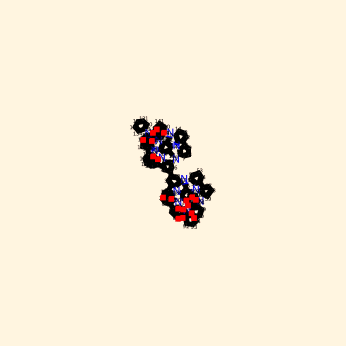 N#Cc1c(-n2c3ccccc3c3ccccc32)c(C#N)c(-n2c3ccccc3c3cc(-c4ccc5c(c4)c4ccccc4n5-c4c(C#N)c(-n5c6ccccc6c6ccccc65)c(C#N)c(-n5c6ccccc6c6ccccc65)c4-n4c5ccccc5c5ccc6c7ccccc7n(-c7ccccc7)c6c54)ccc32)c(-n2c3ccccc3c3ccc4c(c5ccccc5n4-c4ccccc4)c32)c1-n1c2ccccc2c2ccccc21